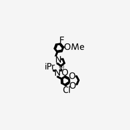 COc1cc(CN2CC[C@@H](C(=O)N(Cc3cc(Cl)c4c(c3)OCCCO4)CC(C)C)C2)ccc1F